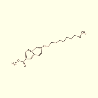 COCCCCCCCCOc1ccc2cc(C(=O)OC)ccc2c1